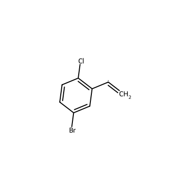 C=[C]c1cc(Br)ccc1Cl